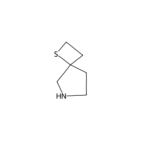 C1CC2(CCS2)CN1